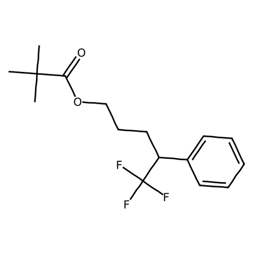 CC(C)(C)C(=O)OCCCC(c1ccccc1)C(F)(F)F